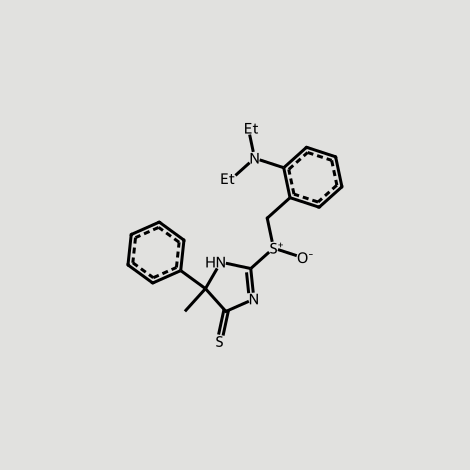 CCN(CC)c1ccccc1C[S+]([O-])C1=NC(=S)C(C)(c2ccccc2)N1